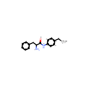 NC(Cc1ccccc1)C(=O)Nc1ccc(CC(=O)O)cc1